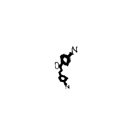 N#Cc1ccc(CCC(=O)c2ccc(C#N)cc2)cc1